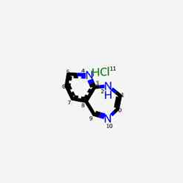 C1=CNc2ncccc2C=N1.Cl